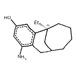 CC[C@@]12CCCCC(Cc3c(N)cc(O)cc31)C2